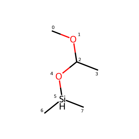 COC(C)O[SiH](C)C